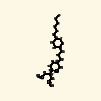 CCCCCCC1CCC(CCCC2CCC(C(COC)COC)OC2)CC1